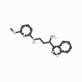 COc1cccc(NCCC(N)c2nsc3ccccc23)n1